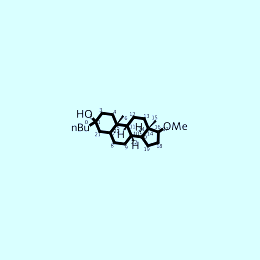 CCCCC1(O)CC[C@@]2(C)C(CC[C@@H]3[C@H]2CC[C@]2(C)C(OC)CC[C@@H]32)C1